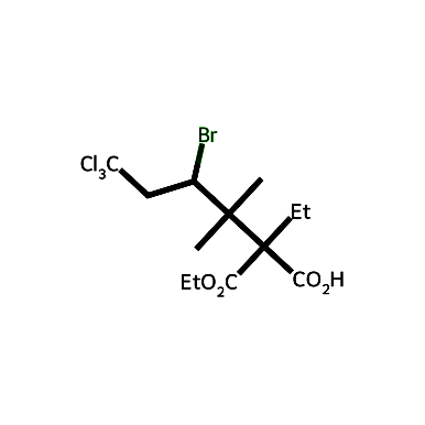 CCOC(=O)C(CC)(C(=O)O)C(C)(C)C(Br)CC(Cl)(Cl)Cl